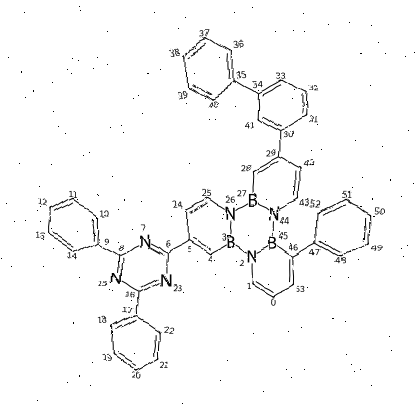 C1=CN2B3C=C(c4nc(-c5ccccc5)nc(-c5ccccc5)n4)C=CN3B3C=C(c4cccc(-c5ccccc5)c4)C=CN3B2C(c2ccccc2)=C1